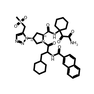 CS(=O)(=O)Cc1cnnn1[C@H]1C[C@@H](C(=O)NC2(C(=O)C(N)=O)CCCCC2)N(C(=O)C(CC2CCCCC2)NC(=O)c2ccc3ccccc3c2)C1